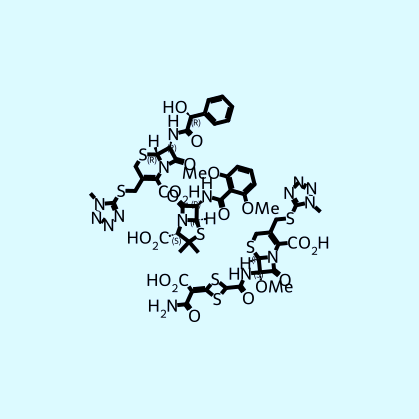 CO[C@@]1(NC(=O)C2SC(=C(C(N)=O)C(=O)O)S2)C(=O)N2C(C(=O)O)=C(CSc3nnnn3C)CS[C@@H]21.COc1cccc(OC)c1C(=O)N[C@@H]1C(=O)N2[C@@H]1SC(C)(C)[C@@H]2C(=O)O.Cn1nnnc1SCC1=C(C(=O)O)N2C(=O)[C@@H](NC(=O)[C@H](O)c3ccccc3)[C@H]2SC1